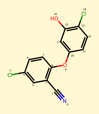 N#Cc1cc(Cl)ccc1Oc1ccc(Cl)c(O)c1